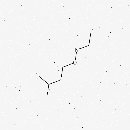 CC[N]OCCC(C)C